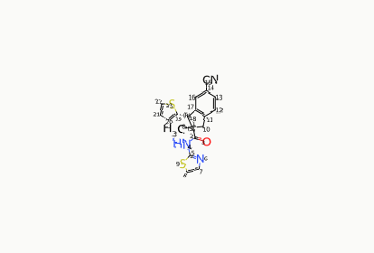 C[C@]1(C(=O)Nc2nccs2)Cc2ccc(C#N)cc2[C@H]1c1cccs1